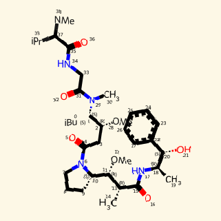 CC[C@H](C)[C@@H]([C@@H](CC(=O)N1CCC[C@H]1[C@H](OC)[C@@H](C)C(=O)N[C@H](C)[C@@H](O)c1ccccc1)OC)N(C)C(=O)CNC(=O)C(NC)C(C)C